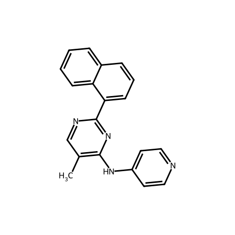 Cc1cnc(-c2cccc3ccccc23)nc1Nc1ccncc1